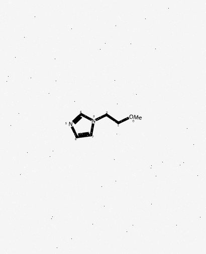 COCCn1[c]ncc1